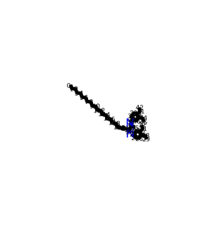 CCCCCCCCCCCCCCCCCCCCC#CC(=Nc1ccc(CC)c(CC)c1)C(C)=Nc1ccc(CC)c(CC)c1